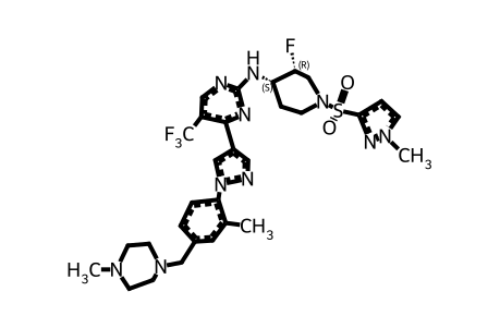 Cc1cc(CN2CCN(C)CC2)ccc1-n1cc(-c2nc(N[C@H]3CCN(S(=O)(=O)c4ccn(C)n4)C[C@H]3F)ncc2C(F)(F)F)cn1